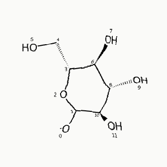 [O]C1O[C@H](CO)[C@@H](O)[C@H](O)[C@H]1O